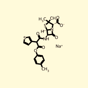 Cc1ccc(OC(=O)C(C(=O)N[C@@H]2C(=O)N3[C@@H]2SC(C)(C)[C@@H]3C(=O)[O-])c2ccsc2)cc1.[Na+]